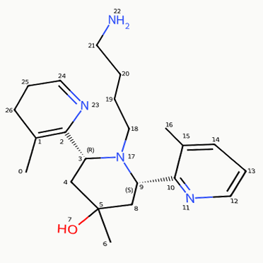 CC1=C([C@H]2CC(C)(O)C[C@@H](c3ncccc3C)N2CCCCN)N=CCC1